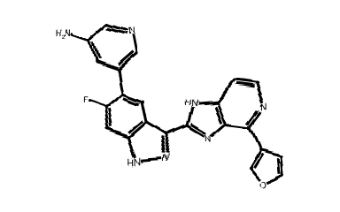 Nc1cncc(-c2cc3c(-c4nc5c(-c6ccoc6)nccc5[nH]4)n[nH]c3cc2F)c1